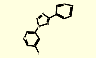 Fc1cncc(-n2nnc(-c3cccnc3)n2)c1